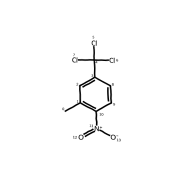 Cc1cc(C(Cl)(Cl)Cl)ccc1[N+](=O)[O-]